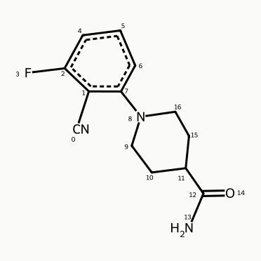 N#Cc1c(F)cccc1N1CCC(C(N)=O)CC1